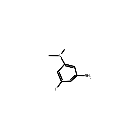 Bc1cc(F)cc(N(C)C)c1